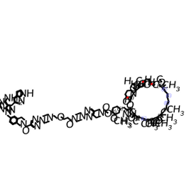 CO[C@H]1C[C@@H]2CC[C@@H](C)[C@@](O)(O2)C(=O)C(=O)N2CCCC[C@H]2C(=O)O[C@H]([C@H](N)C[C@@H]2CC[C@@H](OC(=O)N3CCc4nc(N5CCN(C(=O)CCOCCN6CCN(c7ncc(C(=O)N8CCc9cc(Cn%10nc(-c%11cnc%12[nH]ccc%12c%11)c%11c(N)ncnc%11%10)ccc9C8)cn7)CC6)CC5)ncc4C3)[C@H](OC)C2)CC(=O)[C@H](C)/C=C(\C)[C@@H](O)[C@@H](OC)C(=O)[C@H](C)C[C@H](C)/C=C/C=C/C=C/1C